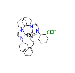 [C](=Cc1ccccc1)=[Ru+2](=[c]1n(C2CCCCC2)ccn1C1CCCCC1)=[c]1n(C2CCCCC2)ccn1C1CCCCC1.[Cl-].[Cl-]